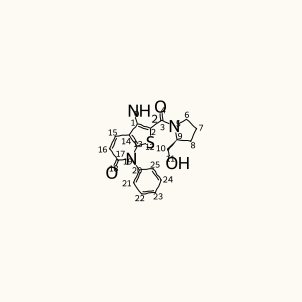 Nc1c(C(=O)N2CCC[C@H]2CO)sc2c1ccc(=O)n2-c1ccccc1